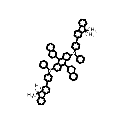 CC1(C)c2ccccc2-c2ccc(-c3ccc(N(c4ccccc4)c4ccc5c(-c6ccc7ccccc7c6)c6cc(N(c7ccccc7)c7ccc(-c8ccc9c(c8)C(C)(C)c8ccccc8-9)cc7)ccc6c(C6=Cc7ccccc7CC6)c5c4)cc3)cc21